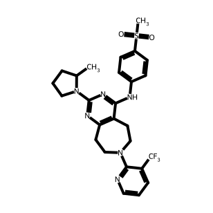 CC1CCCN1c1nc2c(c(Nc3ccc(S(C)(=O)=O)cc3)n1)CCN(c1ncccc1C(F)(F)F)CC2